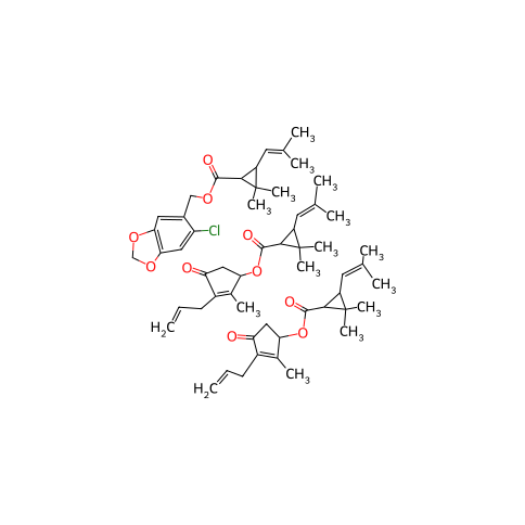 C=CCC1=C(C)C(OC(=O)C2C(C=C(C)C)C2(C)C)CC1=O.C=CCC1=C(C)C(OC(=O)C2C(C=C(C)C)C2(C)C)CC1=O.CC(C)=CC1C(C(=O)OCc2cc3c(cc2Cl)OCO3)C1(C)C